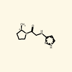 C[C@@H]1CCCN1C(=O)CNc1cc[nH]n1